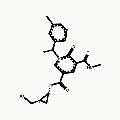 CNC(=O)c1cc(C(=O)N[C@@H]2C[C@H]2CO)cn(C(C)c2cccc(C)c2)c1=O